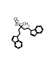 C[C]([Zr+2])(CCC1C=Cc2ccccc21)CCC1C=Cc2ccccc21.[Cl-].[Cl-]